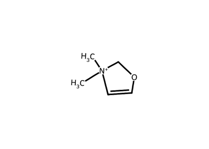 C[N+]1(C)C=COC1